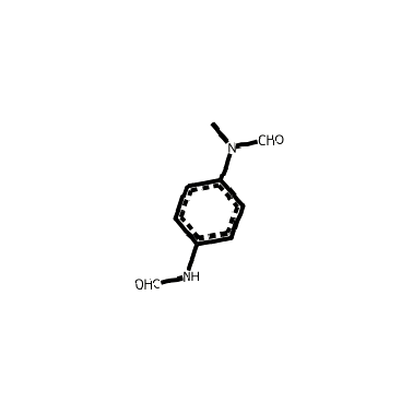 CN(C=O)c1ccc(NC=O)cc1